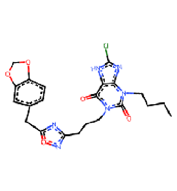 CCCCn1c(=O)n(CCCc2noc(Cc3ccc4c(c3)OCO4)n2)c(=O)c2[nH]c(Cl)nc21